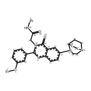 CCOc1cccc(-c2nc3ccc(N4CCN5CCC4CC5)cc3c(=O)n2CC(=O)NC(C)C)c1